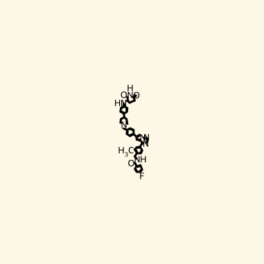 Cc1cc(-c2ncnn3cc(-c4ccc(CN5CCC(c6ccc(NC7CCC(=O)NC7=O)cc6)CC5)cc4)cc23)ccc1CNC(=O)c1ccc(F)cc1